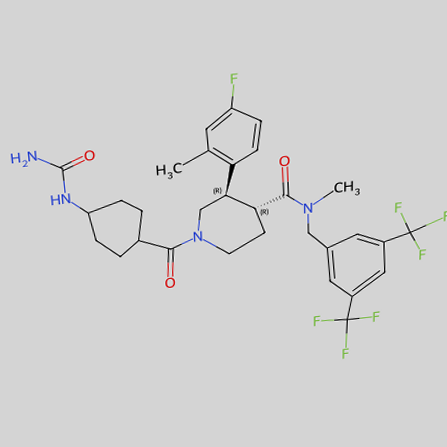 Cc1cc(F)ccc1[C@@H]1CN(C(=O)C2CCC(NC(N)=O)CC2)CC[C@H]1C(=O)N(C)Cc1cc(C(F)(F)F)cc(C(F)(F)F)c1